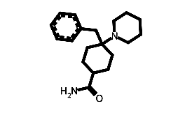 NC(=O)C1CCC(Cc2ccccc2)(N2CCCCC2)CC1